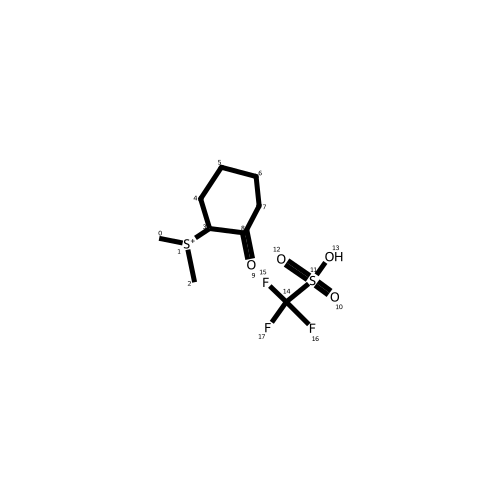 C[S+](C)C1CCCCC1=O.O=S(=O)(O)C(F)(F)F